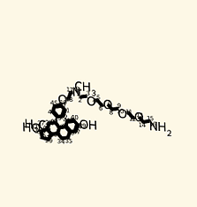 CN(CCOCCOCCOCCOCCN)CCOc1ccc([C@H]2C[C@@]3(C)C(CC[C@@H]3O)C3CCc4cc(O)ccc4C32)cc1